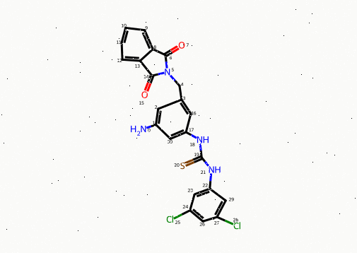 Nc1cc(CN2C(=O)c3ccccc3C2=O)cc(NC(=S)Nc2cc(Cl)cc(Cl)c2)c1